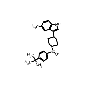 Cc1ccc2[nH]cc(C3CCN([S+]([O-])c4ccc(C(C)(C)C)cc4)CC3)c2c1